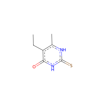 CCc1c(C)[nH]c(=S)[nH]c1=O